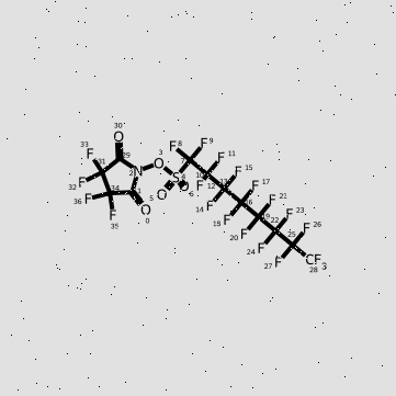 O=C1N(OS(=O)(=O)C(F)(F)C(F)(F)C(F)(F)C(F)(F)C(F)(F)C(F)(F)C(F)(F)C(F)(F)F)C(=O)C(F)(F)C1(F)F